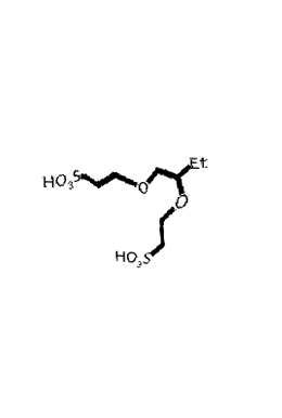 CCC(COCCS(=O)(=O)O)OCCS(=O)(=O)O